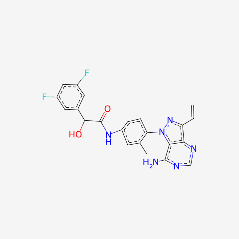 C=Cc1nn(-c2ccc(NC(=O)C(O)c3cc(F)cc(F)c3)cc2C)c2c(N)ncnc12